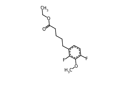 CCOC(=O)CCCCc1ccc(F)c(OC)c1F